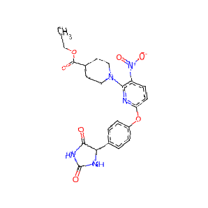 CCOC(=O)C1CCN(c2nc(Oc3ccc(C4NC(=O)NC4=O)cc3)ccc2[N+](=O)[O-])CC1